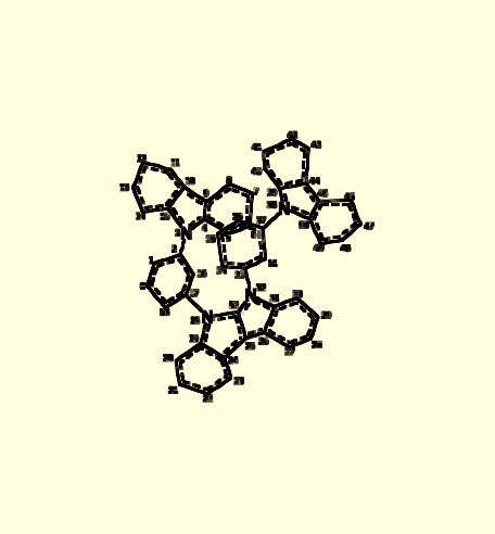 c1cc(-n2c3ccccc3c3ccccc32)cc(-n2c3ccccc3c3c4ccccc4n(-c4cccc(-n5c6ccccc6c6ccccc65)c4)c32)c1